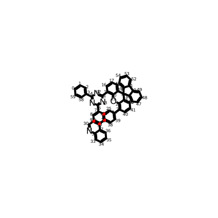 c1ccc(-c2nc(-c3ccccc3)nc(-c3cccc4c3Oc3c(-c5ccc(-c6ccnc7ccccc67)cc5)cccc3C43c4ccccc4-c4ccccc43)n2)cc1